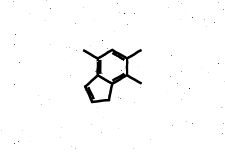 Cc1cc(C)c2c(c1C)CC=C2